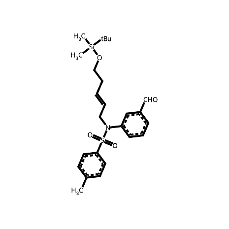 Cc1ccc(S(=O)(=O)N(CC=CCCO[Si](C)(C)C(C)(C)C)c2cccc(C=O)c2)cc1